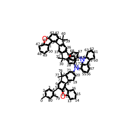 Cc1ccc(-c2cc3c(c4c2oc2ccccc24)-c2ccc(N(c4ccc5c(c4)C(C)(C)c4cc6c(cc4-5)C(C)(C)c4ccc5oc7ccccc7c5c4-6)c4cccc5c6ccccc6n(-c6ccccc6)c45)cc2C3(C)C)c(C)c1